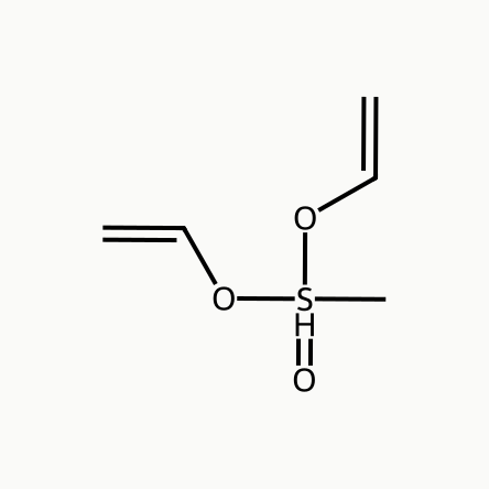 C=CO[SH](C)(=O)OC=C